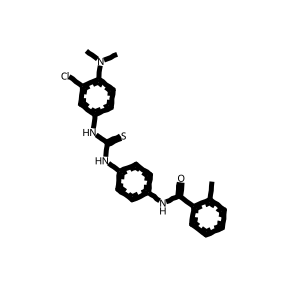 Cc1ccccc1C(=O)Nc1ccc(NC(=S)Nc2ccc(N(C)C)c(Cl)c2)cc1